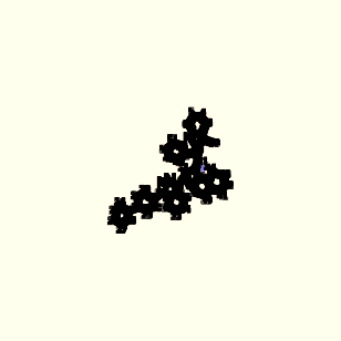 C=c1c2ccccc2n2c1c(/C=C1\CN(c3nnc(-c4ccc(-c5ccccc5)cc4)c4ccccc34)c3ccc4ccccc4c31)c1ccccc12